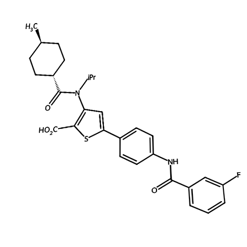 CC(C)N(c1cc(-c2ccc(NC(=O)c3cccc(F)c3)cc2)sc1C(=O)O)C(=O)[C@H]1CC[C@H](C)CC1